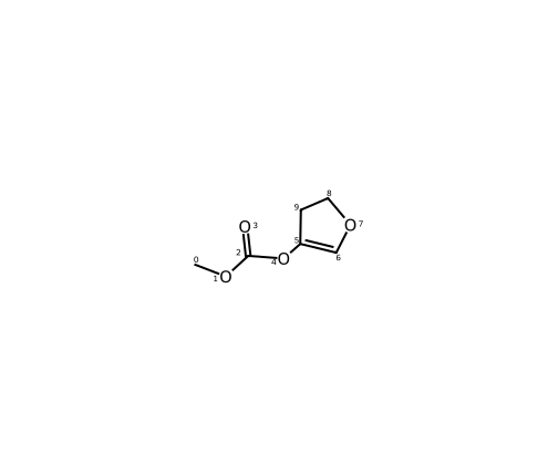 COC(=O)OC1=COCC1